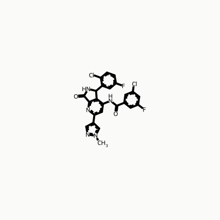 Cn1cc(-c2cc(NC(=O)c3cc(F)cc(Cl)c3)c3c(n2)C(=O)NC3c2cc(F)ccc2Cl)cn1